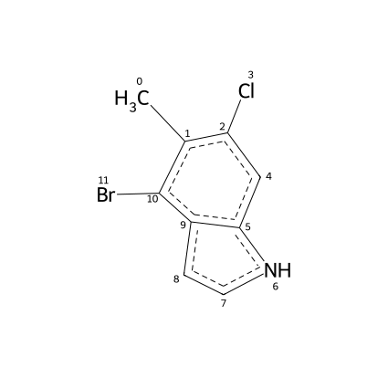 Cc1c(Cl)cc2[nH]ccc2c1Br